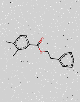 Cc1ccc(C(=O)OCCc2ccccc2)cc1C